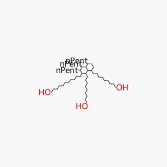 CCCCCC1CCC(CCCCCCCCCO)C2C(CCCCCCCCCO)C(CCCCCCCCCCCO)C(CCCCC)C(CCCCC)C12